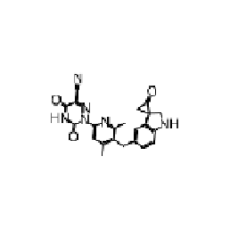 Cc1cc(-n2nc(C#N)c(=O)[nH]c2=O)nc(C)c1Cc1ccc2c(c1)C1(CN2)CC1=O